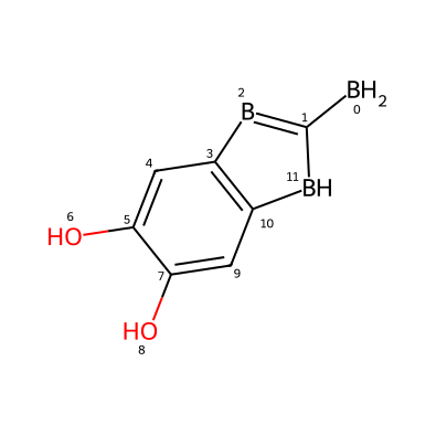 BC1=Bc2cc(O)c(O)cc2B1